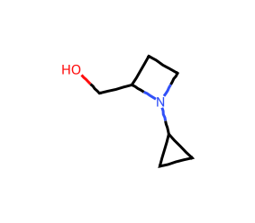 OCC1CCN1C1CC1